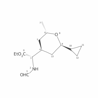 CCOC(=O)[C@@H](NC=O)[C@H]1C[C@H](C)O[C@@H](C2CC2)C1